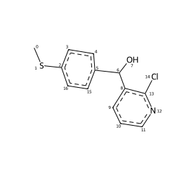 CSc1ccc(C(O)c2cccnc2Cl)cc1